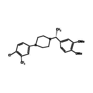 COc1ccc([C@@H](C)N2CCN(c3ccc(Cl)c(C(F)(F)F)c3)CC2)cc1OC